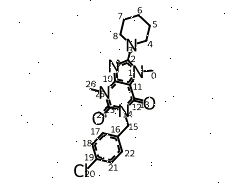 Cn1c(N2CCCCC2)nc2c1c(=O)n(Cc1ccc(Cl)cc1)c(=O)n2C